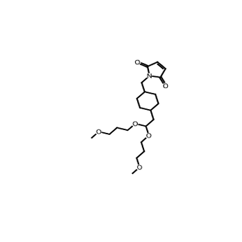 COCCCOC(CC1CCC(CN2C(=O)C=CC2=O)CC1)OCCCOC